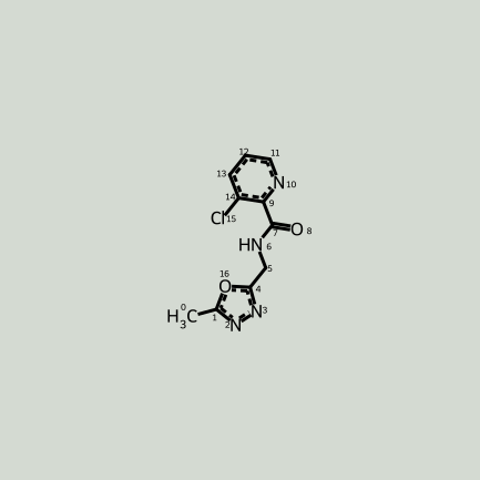 Cc1nnc(CNC(=O)c2ncccc2Cl)o1